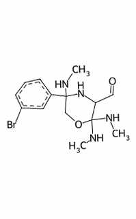 CNC1(c2cccc(Br)c2)COC(NC)(NC)C(C=O)N1